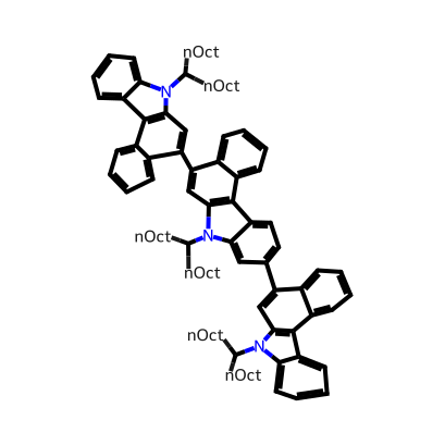 CCCCCCCCC(CCCCCCCC)n1c2ccccc2c2c3ccccc3c(-c3ccc4c5c6ccccc6c(-c6cc7c(c8ccccc68)c6ccccc6n7C(CCCCCCCC)CCCCCCCC)cc5n(C(CCCCCCCC)CCCCCCCC)c4c3)cc21